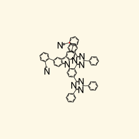 N#Cc1ccccc1-c1ccc2c(c1)c1cc(-c3ccccc3C#N)ccc1n2-c1ccc(-c2nc(-c3ccccc3)nc(-c3ccccc3)n2)cc1-c1nc(-c2ccccc2)nc(-c2ccccc2)n1